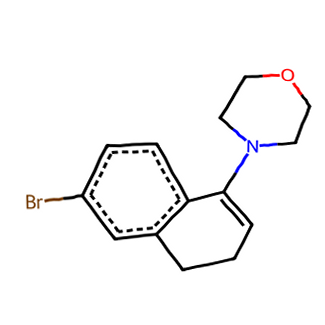 Brc1ccc2c(c1)CCC=C2N1CCOCC1